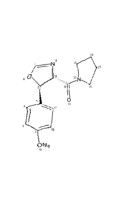 COc1ccc([C@H]2OC=N[C@@H]2C(=O)N2CCCC2)cc1